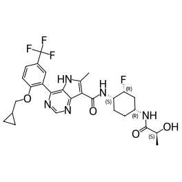 Cc1[nH]c2c(-c3cc(C(F)(F)F)ccc3OCC3CC3)ncnc2c1C(=O)N[C@H]1CC[C@@H](NC(=O)[C@H](C)O)C[C@H]1F